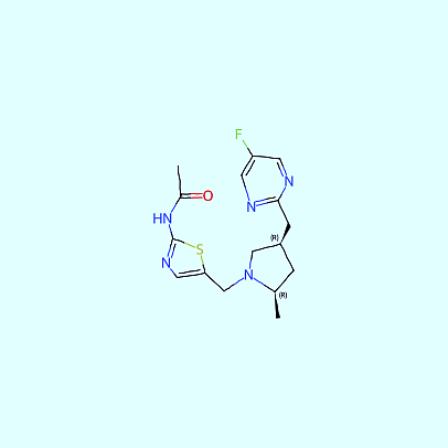 CC(=O)Nc1ncc(CN2C[C@@H](Cc3ncc(F)cn3)C[C@H]2C)s1